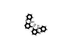 [O-][S+](c1cccc2c1Nc1ccccc1S2)c1cccc2c1Nc1ccccc1S2